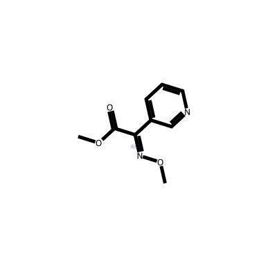 CO/N=C(/C(=O)OC)c1cccnc1